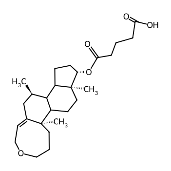 C[C@@H]1C/C2=C/COCCC[C@]2(C)C2CC[C@@]3(C)C(CC[C@@H]3OC(=O)CCCC(=O)O)C21